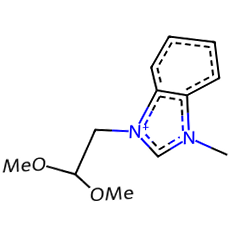 COC(C[n+]1cn(C)c2ccccc21)OC